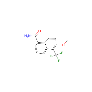 COc1ccc2c(C(N)=O)cccc2c1C(F)(F)F